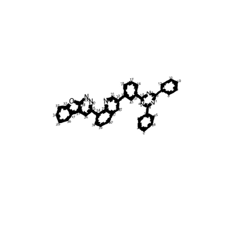 c1ccc(-c2nc(-c3ccccc3)nc(-c3cccc(-c4cnc5c(-c6cc7c(nn6)oc6ccccc67)cccc5c4)c3)n2)cc1